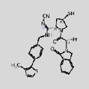 Cc1ncsc1-c1ccc(CN/C(=N/C#N)[C@@H]2C[C@@H](S)CN2C(=O)[C@H](C(C)C)N2Cc3ccccc3C2=O)cc1